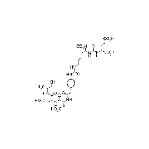 C[C@H](CS)NC(=O)[C@H](CC(=O)O)NC(=O)[C@H](CC(=O)O)NC(=O)Cc1ccc(NC(=O)NCCCC[C@H](NC(=O)N[C@@H](CCC(=O)O)C(=O)O)C(=O)O)cc1